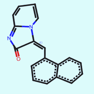 O=C1N=C2C=CC=CN2/C1=C/c1cccc2ccccc12